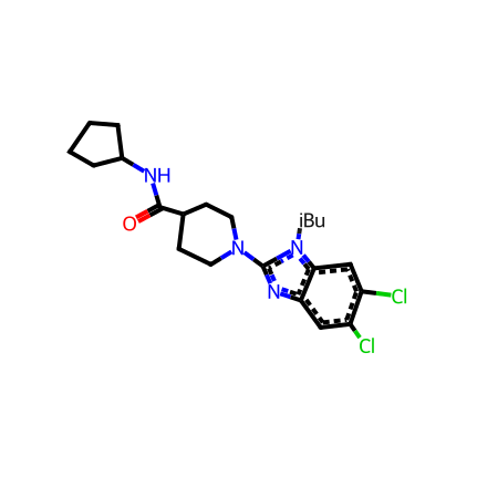 CCC(C)n1c(N2CCC(C(=O)NC3CCCC3)CC2)nc2cc(Cl)c(Cl)cc21